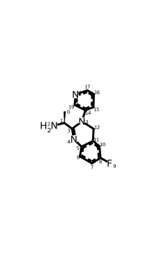 C[C@H](N)C1=Nc2ccc(F)cc2CN1c1cccnc1